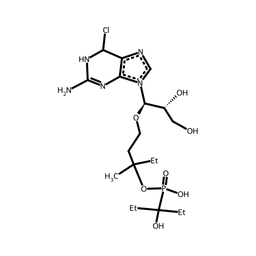 CCC(C)(CCO[C@H]([C@H](O)CO)n1cnc2c1N=C(N)NC2Cl)OP(=O)(O)C(O)(CC)CC